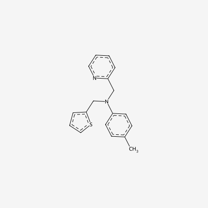 Cc1ccc(N(Cc2ccccn2)Cc2cccs2)cc1